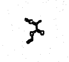 C=C=C(C)C(=O)OC=C